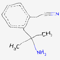 CC(C)(N)c1ccccc1C#N